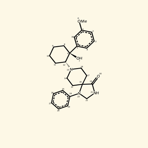 COc1cccc([C@@]2(O)CCCC[C@H]2N2CCC3(CC2)C(=O)NCN3c2ccccc2)c1